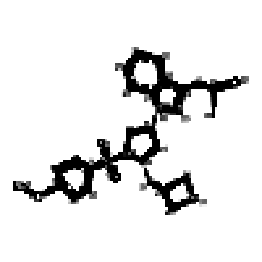 CCOc1ccc(S(=O)(=O)N2C[C@H](n3nc(CC(=O)I)c4ccccc43)C[C@@H]2CC2COC2)cc1